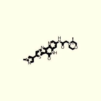 C[C@H]1COCCN1CC(=O)Nc1cnc2c(c1)[nH]c(=O)c1c2nn2cc(-c3cnn(C)c3)sc12